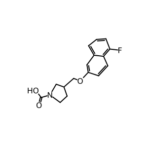 O=C(O)N1CCC(COc2ccc3c(F)cccc3c2)C1